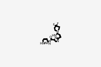 O=C(NC1C=CCNN1)C1CN=C2C=CC(N3CCC(F)(F)CC3)NN21